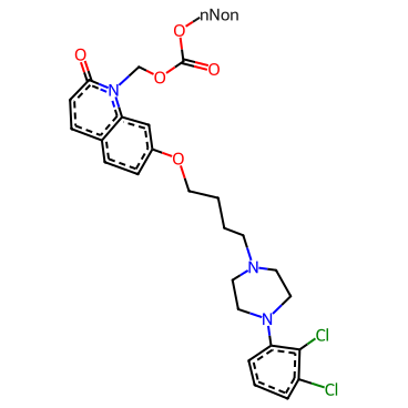 CCCCCCCCCOC(=O)OCn1c(=O)ccc2ccc(OCCCCN3CCN(c4cccc(Cl)c4Cl)CC3)cc21